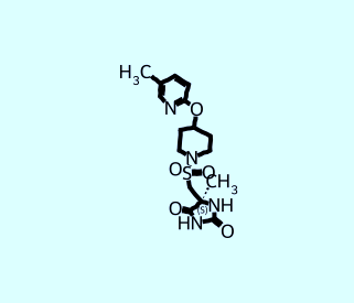 Cc1ccc(OC2CCN(S(=O)(=O)C[C@@]3(C)NC(=O)NC3=O)CC2)nc1